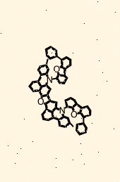 Cc1ccc2c3cccc4c5oc6c(cc7c8c(cccc68)c6ccc(C)cc6n7-c6cccc7c6oc6c(-c8ccccc8)cccc67)c5cc(c34)n(-c3cccc4c3oc3c(-c5ccccc5)cccc34)c2c1